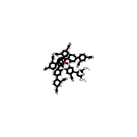 Cc1cc(-c2cc(-n3c4cc(-c5ccc(C#N)cc5C#N)ccc4c4ccc(-c5ccc(C#N)cc5C#N)cc43)c(-n3c4cc(-c5ccc(C#N)cc5C#N)ccc4c4ccc(-c5ccc(C#N)cc5C#N)cc43)cc2C#N)nc(C)n1